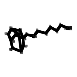 OCCCCCOCC12CC3CC(CC(C3)C1)C2